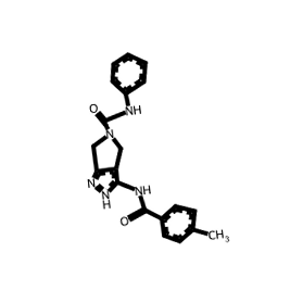 Cc1ccc(C(=O)Nc2[nH]nc3c2CN(C(=O)Nc2ccccc2)C3)cc1